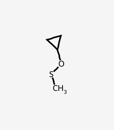 CSOC1CC1